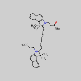 CC(C)(C)C(=O)CCN1/C(=C/C=C/C=C/C=C/C2=[N+](CCC(=O)[O-])c3ccc4ccccc4c3C2(C)C)C(C)(C)c2c1ccc1ccccc21